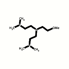 COCCN(CCP(C)C)CCP(C)C